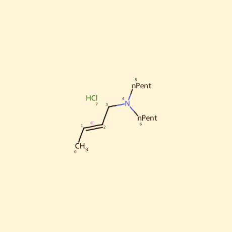 C/C=C/CN(CCCCC)CCCCC.Cl